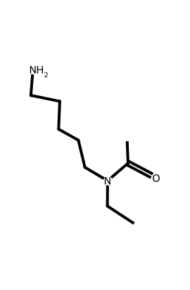 CCN(CCCCCN)C(C)=O